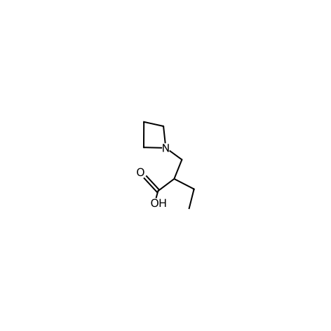 CCC(CN1CCC1)C(=O)O